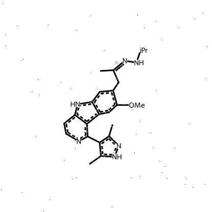 COc1cc2c(cc1C/C(C)=N\NC(C)C)[nH]c1ccnc(-c3c(C)n[nH]c3C)c12